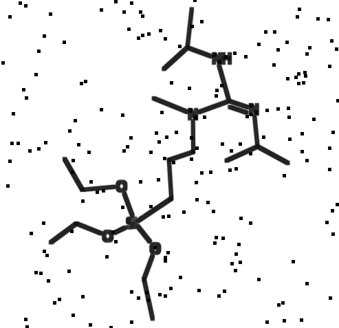 CCO[Si](CCCN(C)/C(=N\C(C)C)NC(C)C)(OCC)OCC